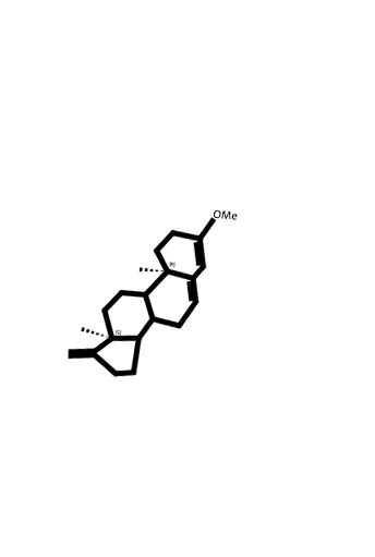 C=C1CCC2C3CC=C4C=C(OC)CC[C@]4(C)C3CC[C@]12C